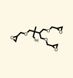 [2H]CC(C)(COCC1CO1)C(COCC1CO1)COCC1CO1